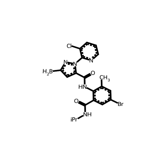 Bc1cc(C(=O)Nc2c(C)cc(Br)cc2C(=O)NC(C)C)n(-c2ncccc2Cl)n1